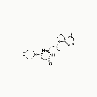 Cc1cccc2c1CCN2C(=O)Cc1nc(N2CCOCC2)cc(=O)[nH]1